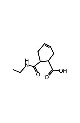 CCNC(=O)C1CC=CCC1C(=O)O